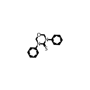 S=C1N(c2ccccc2)COCN1c1ccccc1